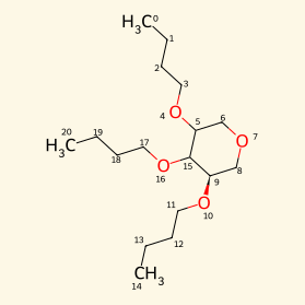 CCCCOC1COC[C@@H](OCCCC)C1OCCCC